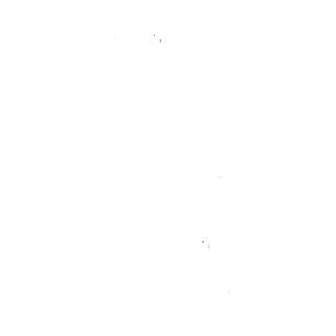 Cc1noc2cccc(OCC(O)CNC(C)C)c12